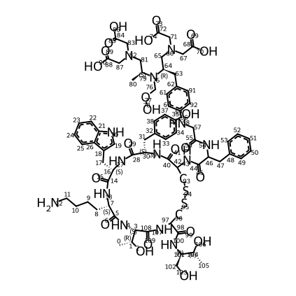 C[C@@H](O)[C@@H]1NC(=O)[C@H](CCCCN)NC(=O)[C@H](Cc2c[nH]c3ccccc23)NC(=O)[C@H](Cc2ccc(O)cc2)NC(=O)C(NC(=O)C(Cc2ccccc2)NC(=O)CNc2ccc(C[C@H](CN(CC(=O)O)CC(=O)O)N(COO)[C@@H](C)CN(CC(=O)O)CC(=O)O)cc2)CSSCC(C(=O)N[C@H](CO)[C@@H](C)O)NC1=O